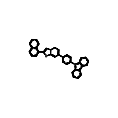 C1=C(c2ccc(-n3c4ccccc4c4ccccc43)cc2)C=C2OC(c3cccc4ccccc34)=CC2C1